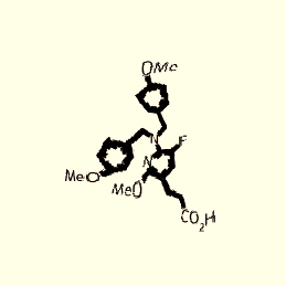 COc1ccc(CN(Cc2ccc(OC)cc2)c2nc(OC)c(CCC(=O)O)cc2F)cc1